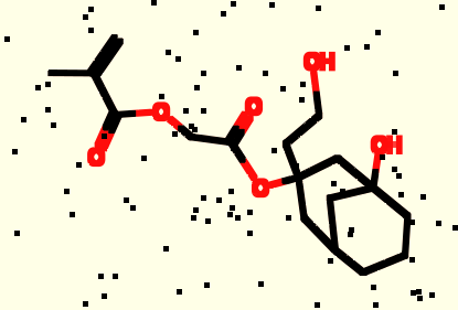 C=C(C)C(=O)OCC(=O)OC1(CCO)CC2CCCC(O)(C2)C1